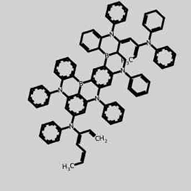 C=C/C(=C\C=C/C)N(c1ccccc1)c1cc2c3c(c1)N(c1ccccc1)c1cc4c(cc1B3c1ccccc1N2c1ccccc1)B1C2C=CCC=C2N(c2ccccc2)/C(=C/C(=C\C)N(C2=CCCC=C2)c2ccccc2)C1CN4C1=C=C=CC=C1